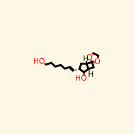 OCCCCCC=C[C@@H]1C[C@H]2[C@@H](CC23OCCO3)C1O